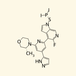 C[C@@H]1COCCN1c1cc(-c2ccn[nH]2)cc(-c2c(F)ncc3c2ccn3SP(I)I)n1